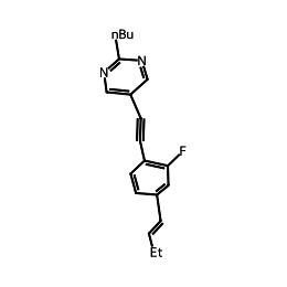 CCC=Cc1ccc(C#Cc2cnc(CCCC)nc2)c(F)c1